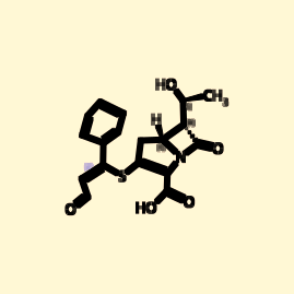 C[C@H](O)[C@@H]1C(=O)N2C(C(=O)O)=C(S/C(=C\C=O)c3ccccc3)C[C@H]12